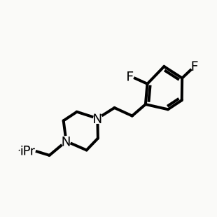 C[C](C)CN1CCN(CCc2ccc(F)cc2F)CC1